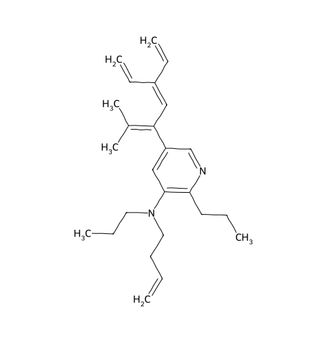 C=CCCN(CCC)c1cc(C(C=C(C=C)C=C)=C(C)C)cnc1CCC